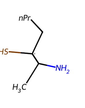 CCCC[C](S)C(C)N